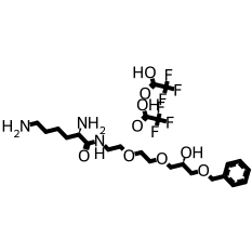 NCCCC[C@H](N)C(=O)NCCOCCOC[C@H](O)COCc1ccccc1.O=C(O)C(F)(F)F.O=C(O)C(F)(F)F